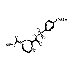 COc1ccc(S(=O)(=O)NC(=O)C2CN(C(=O)OC(C)(C)C)CCN2)cc1